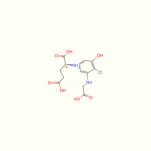 N[C@@H](CCC(=O)O)C(=O)O.O=C(O)CNc1cccc(O)c1Cl